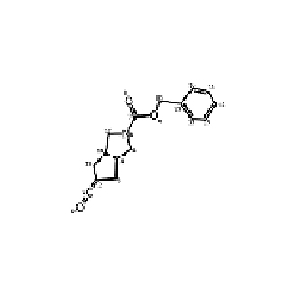 O=C=C1CC2CN(C(=O)OCc3ccccc3)CC2C1